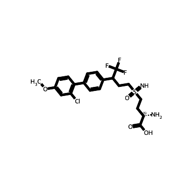 COc1ccc(-c2ccc(C(CCS(=N)(=O)CC[C@H](N)C(=O)O)C(F)(F)F)cc2)c(Cl)c1